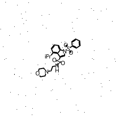 CC(C)c1cccc2c1c(S(=O)(=O)NCCN1CCOCC1)cn2S(=O)(=O)c1ccccc1